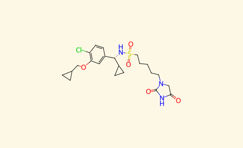 O=C1CN(CCCCCS(=O)(=O)N[C@@H](c2ccc(Cl)c(OCC3CC3)c2)C2CC2)C(=O)N1